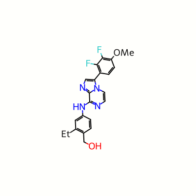 CCc1cc(Nc2nccn3c(-c4ccc(OC)c(F)c4F)cnc23)ccc1CO